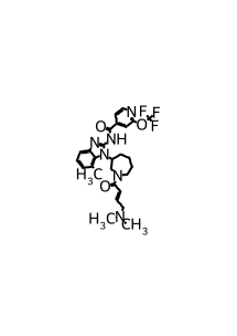 Cc1cccc2nc(NC(=O)c3ccnc(OC(F)(F)F)c3)n(C3CCCCN(C(=O)C=CCN(C)C)C3)c12